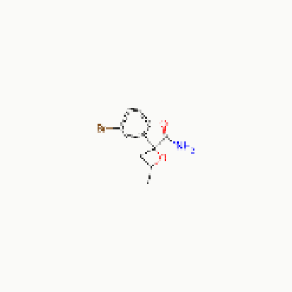 CC1CC(C(N)=O)(c2cccc(Br)c2)O1